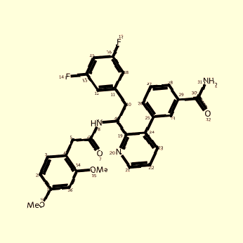 COc1ccc(CC(=O)NC(Cc2cc(F)cc(F)c2)c2ncccc2-c2cccc(C(N)=O)c2)c(OC)c1